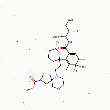 CC(=O)N[C@H](NC(=O)C1=CC(C)C(OC(C)=O)(OC(C)=O)C(C)=C1C1(CCN2CCOC[C@@]23CCN(C(=O)OC(C)(C)C)C3)CCC[C@H](C#N)O1)[C@H](COC(C)=O)OC(C)=O